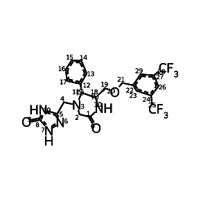 O=C1CN(Cc2n[nH]c(=O)[nH]2)[C@@H](c2ccccc2)[C@@H](COCc2cc(C(F)(F)F)cc(C(F)(F)F)c2)N1